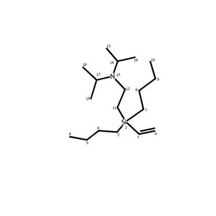 C=C[Si](CCCC)(CCCC)CCN(C(C)C)C(C)C